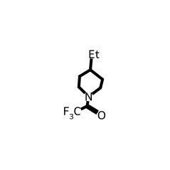 CCC1CCN(C(=O)C(F)(F)F)CC1